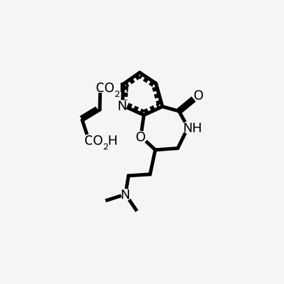 CN(C)CCC1CNC(=O)c2cccnc2O1.O=C(O)C=CC(=O)O